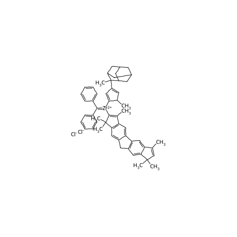 CC1=CC(C)(C)c2cc3c(cc21)-c1cc2c(cc1C3)C(C)(C)[C]([Zr+2]([C]1=CC(C3(C)C4CC5CC(C4)CC3C5)=CC1C)=[C](c1ccccc1)c1ccccc1)=C2C.[Cl-].[Cl-]